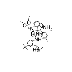 CCOC(CN1C(=O)C(NC(=O)Nc2ccc(C(C)(C)C)cc2CO[SiH](C)C)(C(C(N)=O)c2ccc(C)cc2)c2ccccc21)OCC